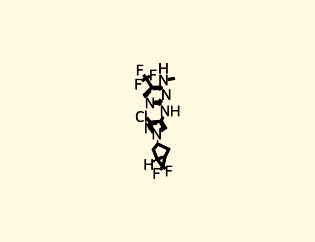 CNc1nc(Nc2cn([C@@H]3CC4[C@@H](C3)C4(F)F)nc2Cl)ncc1C(F)(F)F